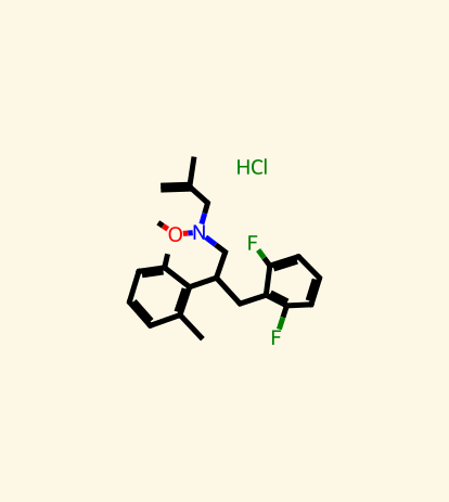 C=C(C)CN(CC(Cc1c(F)cccc1F)c1c(C)cccc1C)OC.Cl